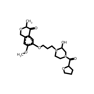 COc1cc2c(cc1OCCCN1CCN(C(=O)C3CCCO3)CC1O)C(=O)C(C)OC2